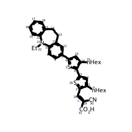 CCCCCCc1cc(-c2sc(-c3ccc4c(c3)CCc3ccccc3N4CC)cc2CCCCCC)sc1/C=C(\C#N)C(=O)O